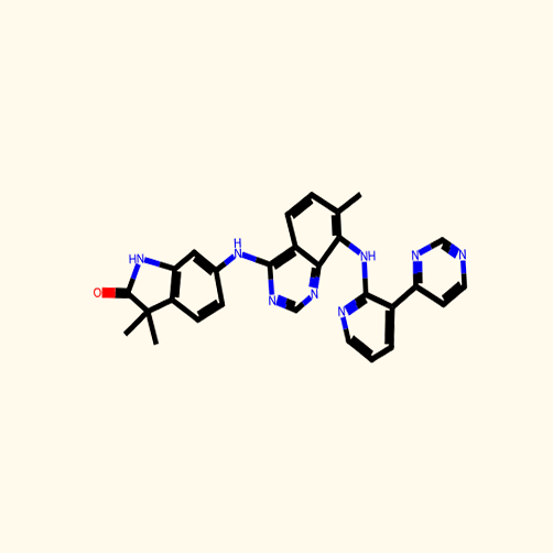 Cc1ccc2c(Nc3ccc4c(c3)NC(=O)C4(C)C)ncnc2c1Nc1ncccc1-c1ccncn1